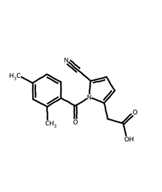 Cc1ccc(C(=O)n2c(C#N)ccc2CC(=O)O)c(C)c1